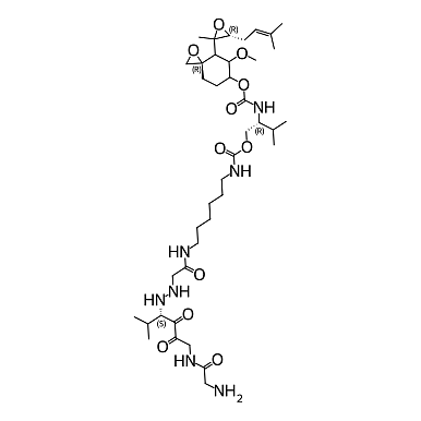 COC1C(OC(=O)N[C@@H](COC(=O)NCCCCCCNC(=O)CNN[C@H](C(=O)C(=O)CNC(=O)CN)C(C)C)C(C)C)CC[C@]2(CO2)C1C1(C)O[C@@H]1CC=C(C)C